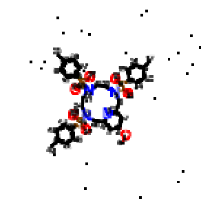 COc1cc2nc(c1)CN(S(=O)(=O)c1ccc(C)cc1)CCN(S(=O)(=O)c1ccc(C)cc1)CCN(S(=O)(=O)c1ccc(C)cc1)C2